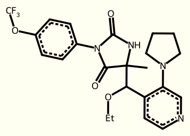 CCOC(c1ccncc1N1CCCC1)C1(C)NC(=O)N(c2ccc(OC(F)(F)F)cc2)C1=O